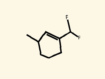 CC1C=C(C(F)F)CCC1